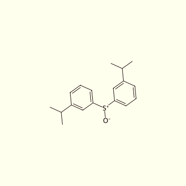 CC(C)c1cccc([S+]([O-])c2cccc(C(C)C)c2)c1